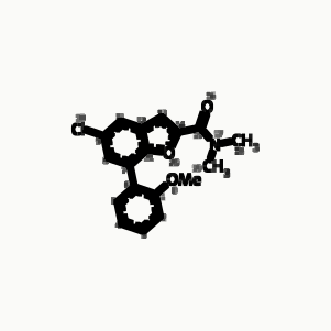 COc1ccccc1-c1cc(Cl)cc2cc(C(=O)N(C)C)oc12